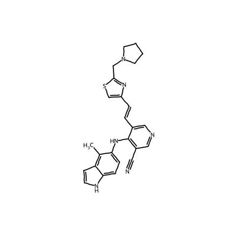 Cc1c(Nc2c(C#N)cncc2C=Cc2csc(CN3CCCC3)n2)ccc2[nH]ccc12